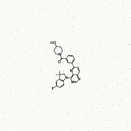 CC1(C)CN(c2ncnc3ccc(-c4cccc(C(=O)N5CCC(O)CC5)c4)nc23)c2ccc(F)cc21